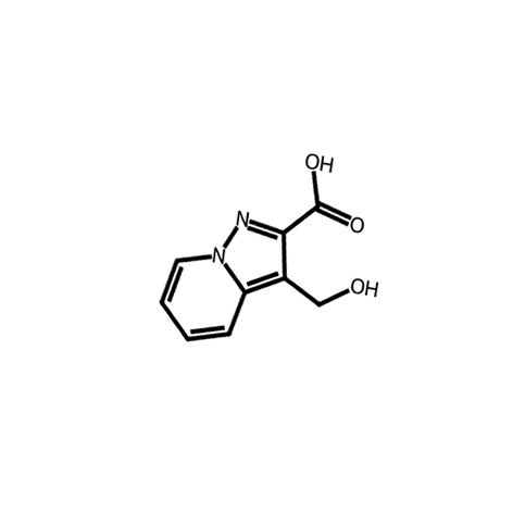 O=C(O)c1nn2ccccc2c1CO